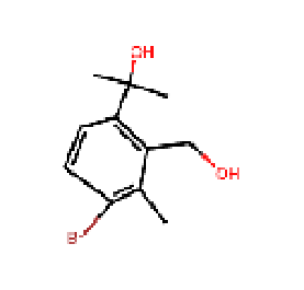 Cc1c(Br)ccc(C(C)(C)O)c1CO